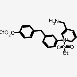 CCOC(=O)c1ccc(Cc2cccc([N+]3(S(=O)(=O)CC)C=C(CN)C=CC3)c2)cc1